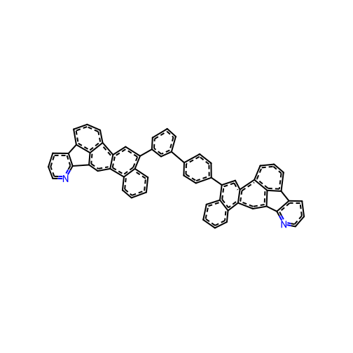 c1cc(-c2ccc(-c3cc4c5cccc6c5c(cc4c4ccccc34)-c3ncccc3-6)cc2)cc(-c2cc3c4cccc5c4c(cc3c3ccccc23)-c2ncccc2-5)c1